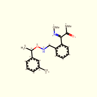 CNC(=O)C(=NOC)c1ccccc1CNOC(C)c1cccc(C(F)(F)F)c1